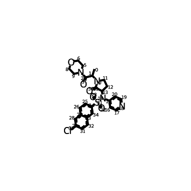 CC(C(=O)N1CCOCC1)N1CCC(N(c2ccncc2)S(=O)(=O)c2ccc3cc(Cl)ccc3c2)C1=O